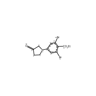 CCOC(=O)c1c(Br)cc(N2CCC(=O)C2)cc1Br